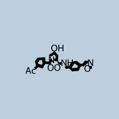 CC(=O)c1cccc(C(=O)N2C[C@H](O)C[C@H]2C(=O)NCc2ccc(-c3cnco3)cc2)c1